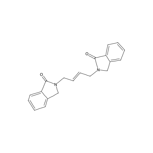 O=C1c2ccccc2CN1CC=CCN1Cc2ccccc2C1=O